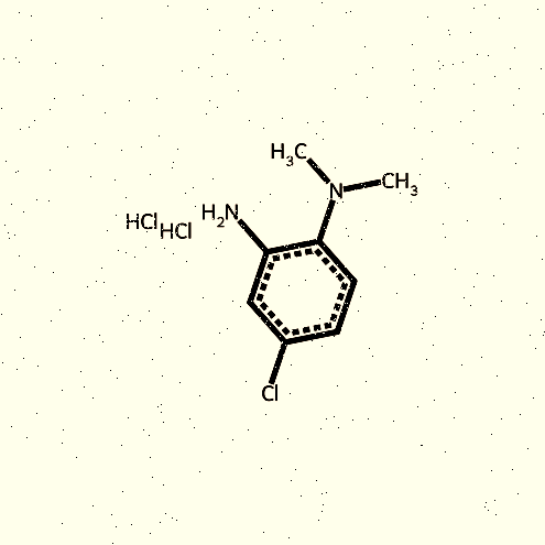 CN(C)c1ccc(Cl)cc1N.Cl.Cl